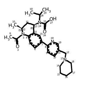 CC(=O)N1c2ccc(-c3ccc(CN4CCCCC4)cn3)cc2[C@H](N(C(=O)O)C(C)C)C[C@@H]1C